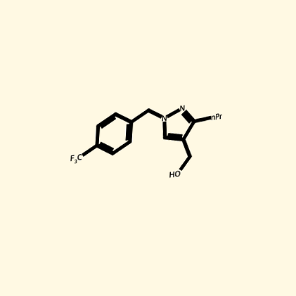 CCCc1nn(Cc2ccc(C(F)(F)F)cc2)cc1CO